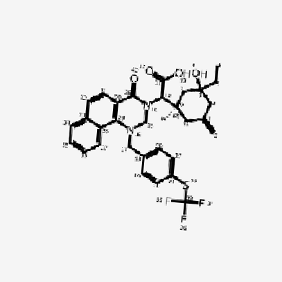 C=C1CC(O)(CC)C[C@](C)(C(C(=O)O)N2CN(Cc3ccc(SC(F)(F)F)cc3)c3c(ccc4ccccc34)C2=O)C1